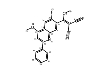 COC(=C(C#N)C#N)c1cc2nc(-c3ccccc3)cc(OC)c2cc1F